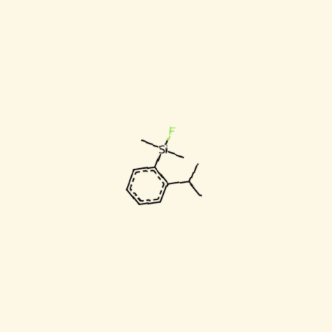 CC(C)c1ccccc1[Si](C)(C)F